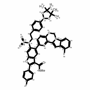 CNC(=O)c1c(-c2ccc(F)cc2)oc2cc(N(CCc3ccc(B4OC(C)(C)C(C)(C)O4)cc3)[SH](=O)=O)c(-c3ccc4c(n3)-c3cc5c(F)cccc5n3CO4)cc12